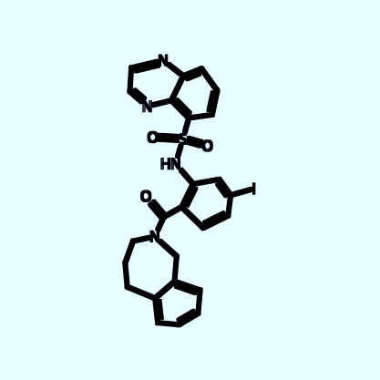 O=C(c1ccc(I)cc1NS(=O)(=O)c1cccc2nccnc12)N1CCCc2ccccc2C1